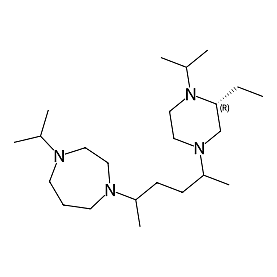 CC[C@@H]1CN(C(C)CCC(C)N2CCCN(C(C)C)CC2)CCN1C(C)C